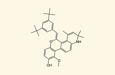 COc1c(O)ccc2c1-c1ccc3c(c1/C(=C/c1cc(C(C)(C)C)cc(C(C)(C)C)c1)O2)C(C)=CC(C)(C)N3